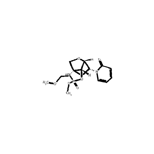 COCC[C@@]12CO[C@H]([C@H](n3ccccc3=O)O1)[C@@H]2OP(=O)(O)OC